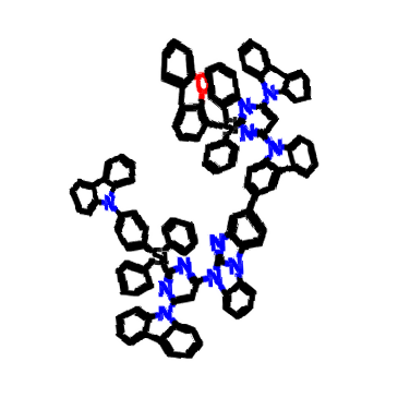 c1ccc([Si](c2ccccc2)(c2ccc(-n3c4ccccc4c4ccccc43)cc2)c2nc(-n3c4ccccc4c4ccccc43)cc(-n3c4ccccc4n4c5ccc(-c6ccc7c(c6)c6ccccc6n7-c6cc(-n7c8ccccc8c8ccccc87)nc([Si](c7ccccc7)(c7ccccc7)c7cccc8c7oc7ccccc78)n6)cc5nc34)n2)cc1